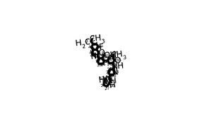 C=C(C)c1cc(F)c2c(=O)n(-c3cccc(-c4cc(Nc5ccc(N6C[C@H]7CC[C@@H](C6)N7)cn5)c(=O)n(C)c4)c3CO)ncc2c1